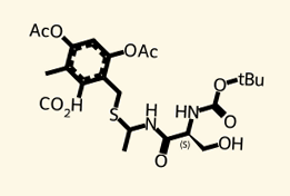 CC(=O)Oc1cc(OC(C)=O)c(CSC(C)NC(=O)[C@H](CO)NC(=O)OC(C)(C)C)c(C(=O)O)c1C